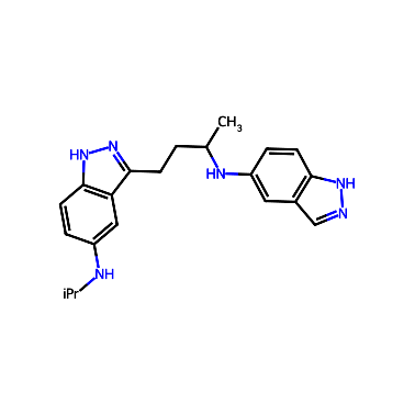 CC(C)Nc1ccc2[nH]nc(CCC(C)Nc3ccc4[nH]ncc4c3)c2c1